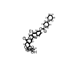 CCc1c2c(nc3ccc(OC(=O)N4CCC(N5CCCCC5)CC4)cc13)-c1cc3c(c(=O)n1C2)COC(=O)[C@H]3O[PH](C)(O)O